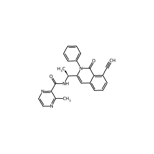 C#Cc1cccc2cc([C@H](C)NC(=O)c3nccnc3C)n(-c3ccccc3)c(=O)c12